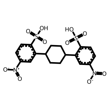 O=[N+]([O-])c1ccc(S(=O)(=O)O)c(C2CCC(c3cc([N+](=O)[O-])ccc3S(=O)(=O)O)CC2)c1